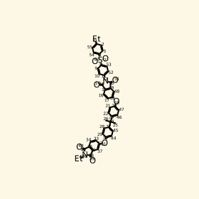 CCc1ccc(S(=O)(=O)c2ccc(N3C(=O)c4ccc(Oc5ccc(C(C)(C)c6ccc(Oc7ccc8c(c7)C(=O)N(CC)C8=O)cc6)cc5)cc4C3=O)cc2)cc1